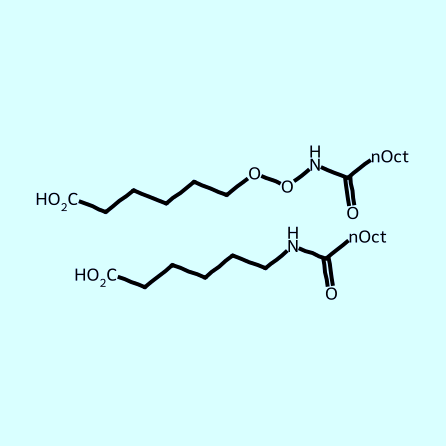 CCCCCCCCC(=O)NCCCCCC(=O)O.CCCCCCCCC(=O)NOOCCCCCC(=O)O